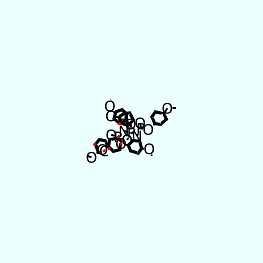 COc1ccc(OP(N=P(NP(Oc2ccc(OC)cc2)Oc2ccc(OC)cc2)(Oc2ccc(OC)cc2)Oc2ccc(OC)cc2)Oc2ccc(OC)cc2)cc1